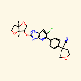 N#CC1(c2ccc(-c3nc4nc(OC5CO[C@@H]6CCO[C@H]56)[nH]c4cc3Cl)cc2)CCOCC1